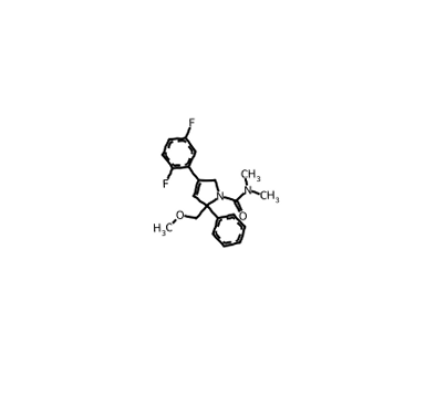 COCC1(c2ccccc2)C=C(c2cc(F)ccc2F)CN1C(=O)N(C)C